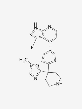 Cc1cnc(C2(c3ccc(-c4ccnc5[nH]cc(F)c45)cc3)CCNCC2)o1